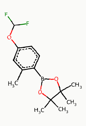 Cc1cc(OC(F)F)ccc1B1OC(C)(C)C(C)(C)O1